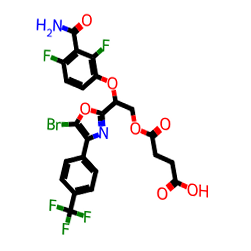 NC(=O)c1c(F)ccc(OC(COC(=O)CCC(=O)O)c2nc(-c3ccc(C(F)(F)F)cc3)c(Br)o2)c1F